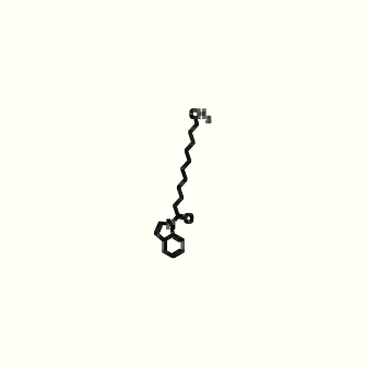 CCCCCCCCCCCC(=O)n1ccc2ccccc21